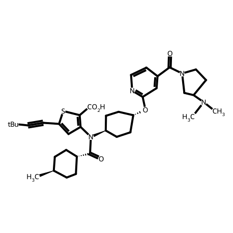 CN(C)C1CCN(C(=O)c2ccnc(O[C@H]3CC[C@H](N(c4cc(C#CC(C)(C)C)sc4C(=O)O)C(=O)[C@H]4CC[C@H](C)CC4)CC3)c2)C1